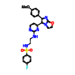 COc1ccc(-c2nc3occn3c2-c2ccnc(NCCNS(=O)(=O)c3ccc(F)cc3)n2)cc1